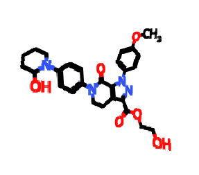 COc1ccc(-n2nc(C(=O)OCCO)c3c2C(=O)N(c2ccc(N4CCCCC4O)cc2)CC3)cc1